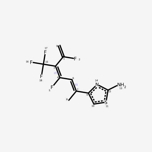 C=C(F)/C(=C(F)\C=C(/C)c1csc(N)n1)C(F)(F)F